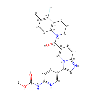 COC(=O)Nc1ccc(-c2cnc3ccc(C(=O)N4CCCc5c4ccc(C)c5F)cn23)cn1